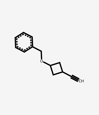 C#CC1CC(OCc2ccccc2)C1